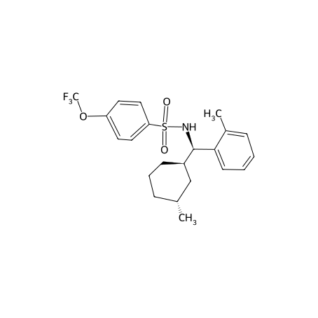 Cc1ccccc1[C@H](NS(=O)(=O)c1ccc(OC(F)(F)F)cc1)[C@@H]1CCC[C@@H](C)C1